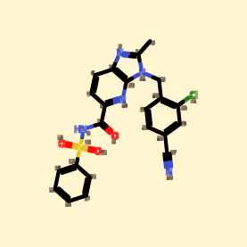 Cc1nc2ccc(C(=O)NS(=O)(=O)c3ccccc3)nc2n1Cc1ccc(C#N)cc1Cl